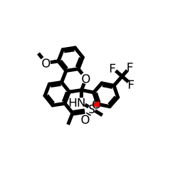 C=C(C)c1cccc2c1C(NS(C)(=O)=O)(c1cccc(C(F)(F)F)c1)Oc1cccc(OC)c1-2